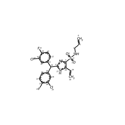 C=CCNS(=O)(=O)c1nc(C(c2ccc(F)c(Cl)c2)c2ccc(F)c(Cl)c2)[nH]c1C=C